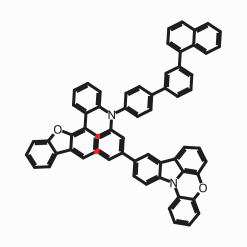 c1cc(-c2ccc(N(c3cccc(-c4ccc5c(c4)c4cccc6c4n5-c4ccccc4O6)c3)c3ccccc3-c3cccc4c3oc3ccccc34)cc2)cc(-c2cccc3ccccc23)c1